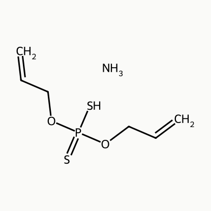 C=CCOP(=S)(S)OCC=C.N